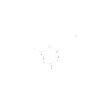 Oc1nc(O)nc(O)n1.[Mg+2].[OH-].[OH-]